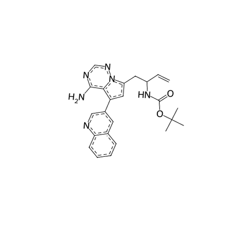 C=CC(Cc1cc(-c2cnc3ccccc3c2)c2c(N)ncnn12)NC(=O)OC(C)(C)C